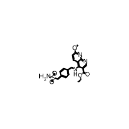 CCOC(=O)c1cnc2nc(OC)ccc2c1NCc1ccc(CS(N)(=O)=O)cc1